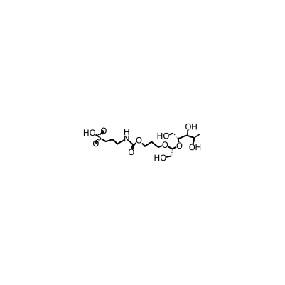 C[C@@H](O)[C@H](O)[C@@H](CO)O[C@H](CO)OCCCOC(=O)NCCCS(=O)(=O)O